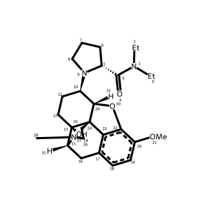 CCN(CC)C(=O)[C@H]1CCCN1[C@@H]1CC[C@@]2(O)[C@H]3Cc4ccc(OC)c5c4[C@@]2(CCN3C)[C@H]1O5